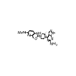 CNc1ccc(NC(=O)N2CCN(c3nc(N)nc4c3cnn4C)[C@@H](C)C2)c(C)n1